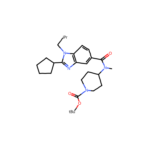 CC(C)Cn1c(C2CCCC2)nc2cc(C(=O)N(C)C3CCN(C(=O)OC(C)(C)C)CC3)ccc21